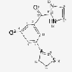 O=C(c1cc(Cl)cc(C2=CSCC2)c1)c1ncc[nH]1